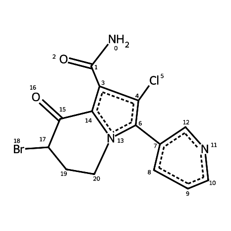 NC(=O)c1c(Cl)c(-c2cccnc2)n2c1C(=O)C(Br)CC2